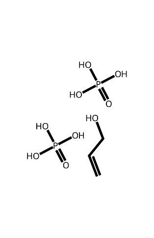 C=CCO.O=P(O)(O)O.O=P(O)(O)O